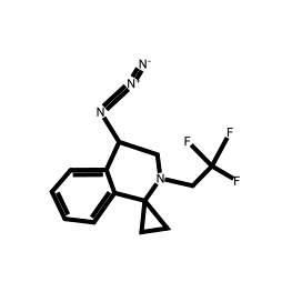 [N-]=[N+]=NC1CN(CC(F)(F)F)C2(CC2)c2ccccc21